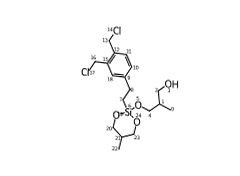 CC(CO)CO[Si]1(CCc2ccc(CCl)c(CCl)c2)OCC(C)CO1